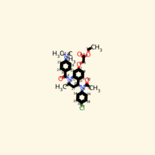 CCOC(=O)COc1ccc2c(c1)N(C(=O)c1ccc(N(C)C)cc1)[C@H](C)C[C@@H]2N(C(C)=O)c1ccc(Cl)cc1